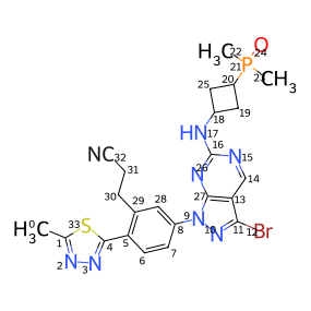 Cc1nnc(-c2ccc(-n3nc(Br)c4cnc(NC5CC(P(C)(C)=O)C5)nc43)cc2CCC#N)s1